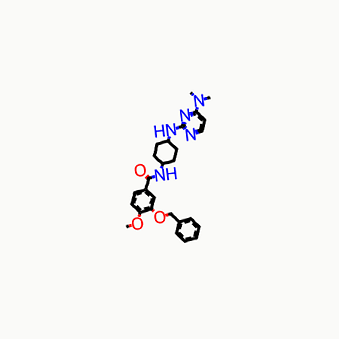 COc1ccc(C(=O)NC2CCC(Nc3nccc(N(C)C)n3)CC2)cc1OCc1ccccc1